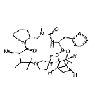 CC(C(C#N)C(=O)N1CCCC[C@@H]1CN(C)C(=O)N[C@@H](Cc1ccccc1)B1O[C@@H]2C[C@@H]3C[C@@H](C3(C)C)[C@]2(C)O1)C(C)(C)N1CCC(F)(F)C1